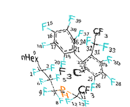 CCCCCCC(F)(F)C(F)(F)C(F)(F)PC(F)(F)C(F)(F)F.Fc1c(F)c(F)c(-c2c(C(F)(F)F)c(F)c(F)c(F)c2C(F)(F)C(F)(F)F)c(F)c1F